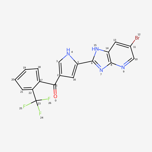 O=C(c1c[nH]c(-c2nc3ncc(Br)cc3[nH]2)c1)c1ccccc1C(F)(F)F